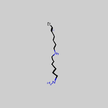 CC/C=C/CCCCNCCCCCCN